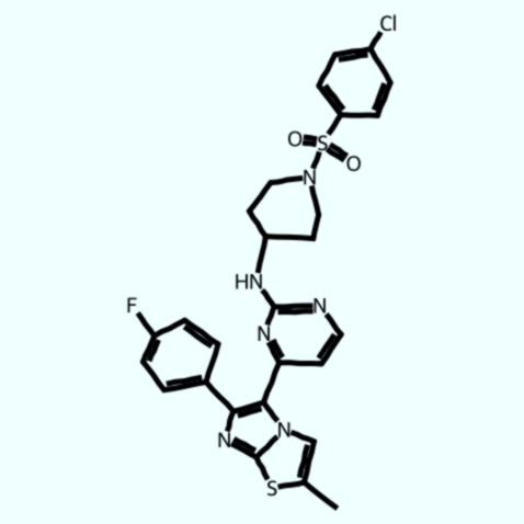 Cc1cn2c(-c3ccnc(NC4CCN(S(=O)(=O)c5ccc(Cl)cc5)CC4)n3)c(-c3ccc(F)cc3)nc2s1